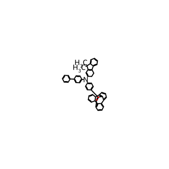 CC1(C)C2=C(CCC(N(c3ccc(-c4ccccc4)cc3)c3ccc(-c4ccc5c(c4)-c4c6cccc4C4C=CC=CC4c4c-5cccc4-6)cc3)=C2)c2ccccc21